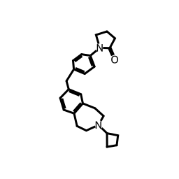 O=C1CCCN1c1ccc(Cc2ccc3c(c2)CCN(C2CCC2)CC3)cc1